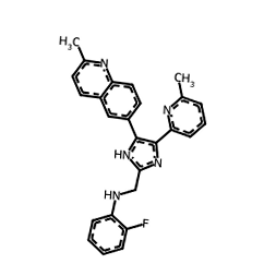 Cc1cccc(-c2nc(CNc3ccccc3F)[nH]c2-c2ccc3nc(C)ccc3c2)n1